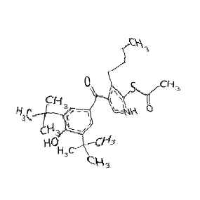 CCCCc1c(C(=O)c2cc(C(C)(C)C)c(O)c(C(C)(C)C)c2)c[nH]c1SC(C)=O